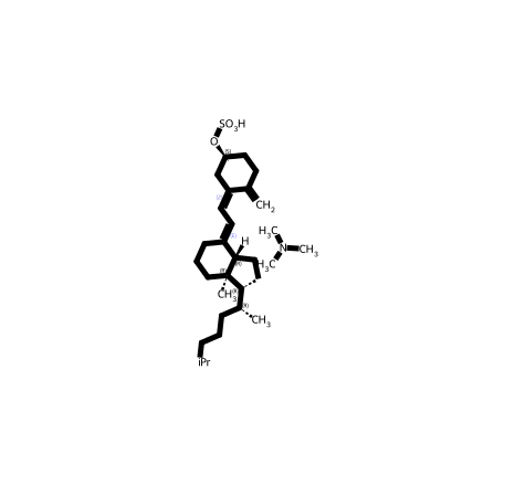 C=C1CC[C@H](OS(=O)(=O)O)C/C1=C/C=C1\CCC[C@]2(C)[C@@H]([C@H](C)CCCC(C)C)CC[C@@H]12.CN(C)C